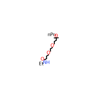 CCCOC(C)(C)CCCOCCCOCCCC(=O)NCC